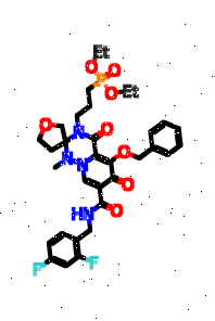 CCOP(=O)(CCCN1C(=O)c2c(OCc3ccccc3)c(=O)c(C(=O)NCc3ccc(F)cc3F)cn2N(C)C12CCOC2)OCC